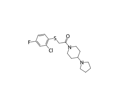 O=C(CSc1ccc(F)cc1Cl)N1CCC(N2CCCC2)CC1